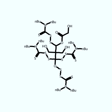 CCCCN(CCCC)C(=S)SSOC(SSC(=S)N(CCCC)CCCC)(SSC(=S)N(CCCC)CCCC)C(CO)(CO)C(OC(=O)CO)SSC(=S)N(CCCC)CCCC